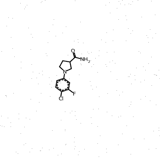 NC(=O)C1CCN(c2ccc(Cl)c(F)c2)C1